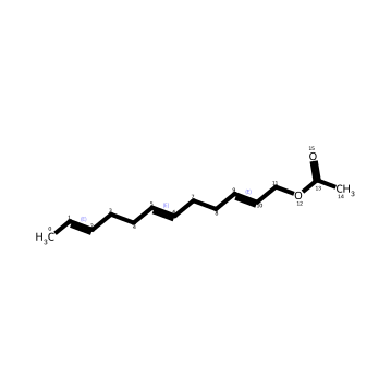 C/C=C/CC/C=C/CC/C=C/COC(C)=O